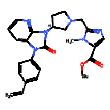 C=Cc1ccc(-n2c(=O)n([C@H]3CCN(Cc4ncc(C(=O)OC(C)(C)C)n4C)C3)c3ncccc32)cc1